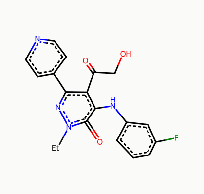 CCn1nc(-c2ccncc2)c(C(=O)CO)c(Nc2cccc(F)c2)c1=O